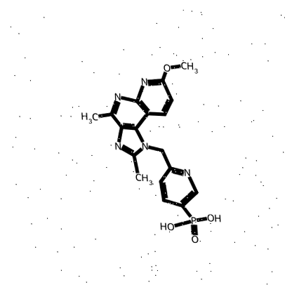 COc1ccc2c(n1)nc(C)c1nc(C)n(Cc3ccc(P(=O)(O)O)cn3)c12